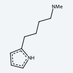 CNCCCCc1ccc[nH]1